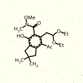 CCOC(Cc1c(C(=O)N(C)OC)c(O)c2c(c1C(C)=O)CC(C)(C)C2)OCC